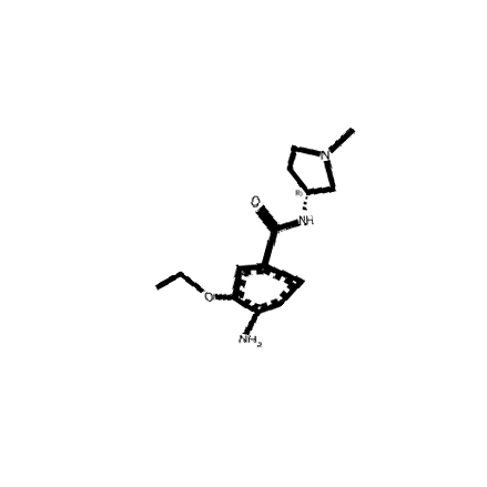 CCOc1cc(C(=O)N[C@@H]2CCN(C)C2)ccc1N